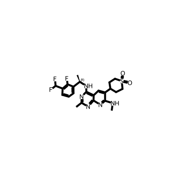 CNc1nc2nc(C)nc(N[C@H](C)c3cccc(C(F)F)c3F)c2cc1C1CCS(=O)(=O)CC1